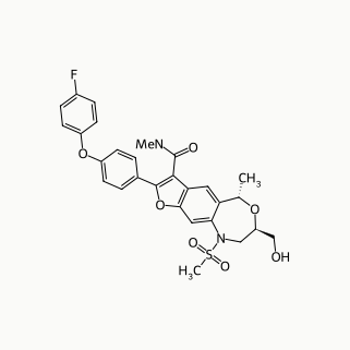 CNC(=O)c1c(-c2ccc(Oc3ccc(F)cc3)cc2)oc2cc3c(cc12)[C@H](C)O[C@@H](CO)CN3S(C)(=O)=O